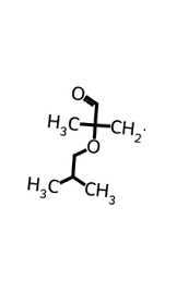 [CH2]C(C)(C=O)OCC(C)C